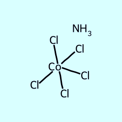 N.[Cl][Co]([Cl])([Cl])([Cl])[Cl]